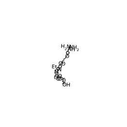 CCc1c2c(nc3ccc(OC(=O)CCCCCOc4ccc(CNC(N)N)cc4)cc13)C1=CC3=C(COC(=O)[C@H]3OC(=O)CC(C)(C)OCC(C)(C)O)CN1C2